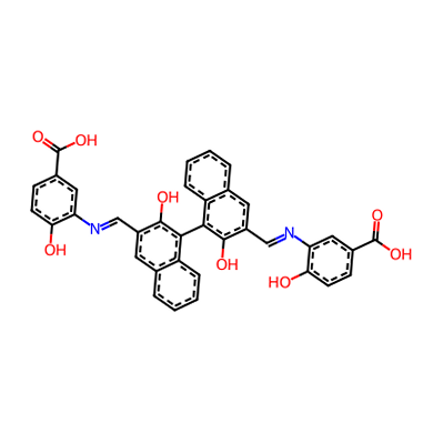 O=C(O)c1ccc(O)c(/N=C/c2cc3ccccc3c(-c3c(O)c(/C=N/c4cc(C(=O)O)ccc4O)cc4ccccc34)c2O)c1